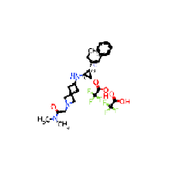 CC/C(=C\c1ccccc1)[C@@H]1C[C@H]1NC1CC2(C1)CN(CC(=O)N(C)C)C2.O=C(O)C(F)(F)F.O=C(O)C(F)(F)F